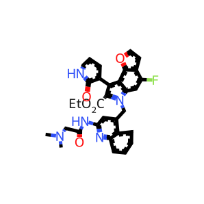 CCOC(=O)c1c(-c2ccc[nH]c2=O)c2c3occc3c(F)cc2n1Cc1cc(NC(=O)CN(C)C)nc2ccccc12